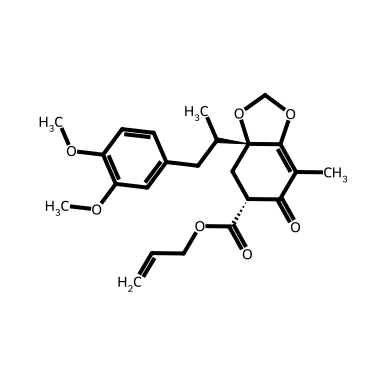 C=CCOC(=O)[C@@H]1C[C@]2(C(C)Cc3ccc(OC)c(OC)c3)OCOC2=C(C)C1=O